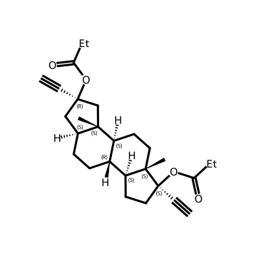 C#C[C@@]1(OC(=O)CC)C[C@@H]2CC[C@@H]3[C@H](CC[C@@]4(C)[C@H]3CC[C@]4(C#C)OC(=O)CC)[C@@]2(C)C1